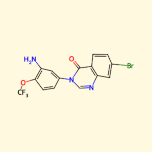 Nc1cc(-n2cnc3cc(Br)ccc3c2=O)ccc1OC(F)(F)F